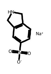 O=S(=O)([O-])c1ccc2c(c1)CNC2.[Na+]